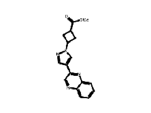 COC(=O)C1CC(n2cc(-c3cnc4ccccc4n3)cn2)C1